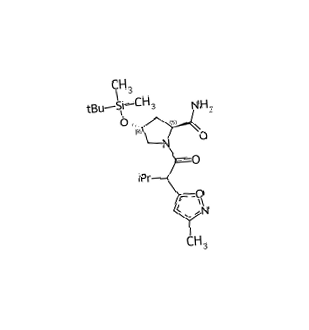 Cc1cc(C(C(=O)N2C[C@H](O[Si](C)(C)C(C)(C)C)C[C@H]2C(N)=O)C(C)C)on1